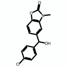 Cn1c(=O)oc2ccc(C(O)c3ccc(Cl)cc3)cc21